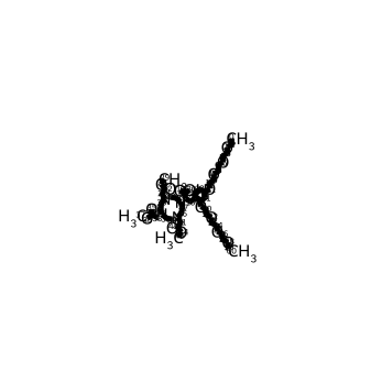 CCOCCOCCOCCOc1ccc(CC(C(=O)O)N2CCN(CC(=O)OC)CCN(CC(=O)OC)CCN(CC(=O)OC)CC2)c(OCCOCCOCCOCC)c1